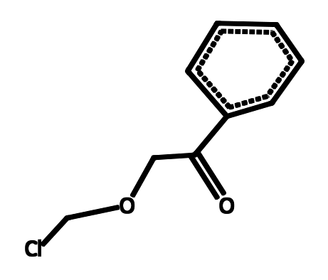 O=C(COCCl)c1ccccc1